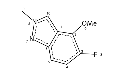 COc1c(F)ccc2nn(C)cc12